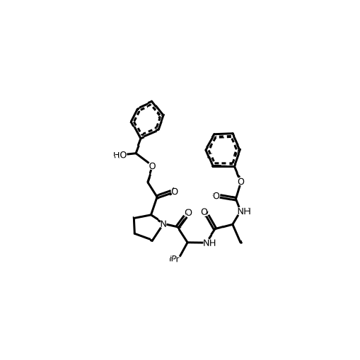 CC(NC(=O)Oc1ccccc1)C(=O)NC(C(=O)N1CCCC1C(=O)COC(O)c1ccccc1)C(C)C